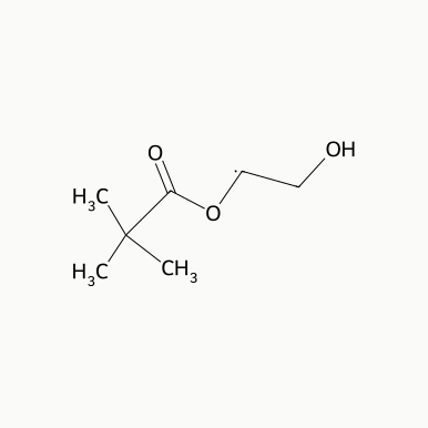 CC(C)(C)C(=O)O[CH]CO